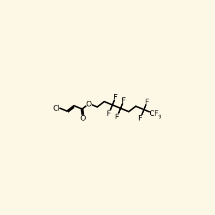 O=C(C=CCl)OCCC(F)(F)C(F)(F)CCC(F)(F)C(F)(F)F